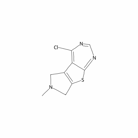 CN1Cc2sc3ncnc(Cl)c3c2C1